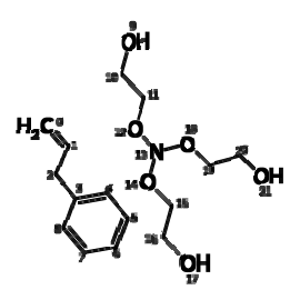 C=CCc1ccccc1.OCCON(OCCO)OCCO